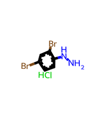 Cl.NNc1ccc(Br)cc1Br